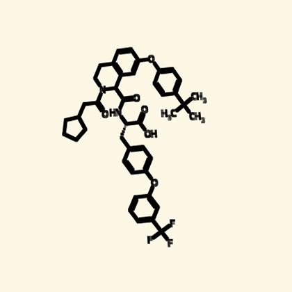 CC(C)(C)c1ccc(Oc2ccc3c(c2)C(C(=O)N[C@@H](Cc2ccc(Oc4cccc(C(F)(F)F)c4)cc2)C(=O)O)N(C(=O)CC2CCCC2)CC3)cc1